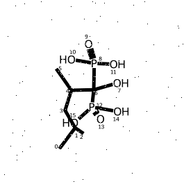 CC(C)CC(C)C(O)(P(=O)(O)O)P(=O)(O)O